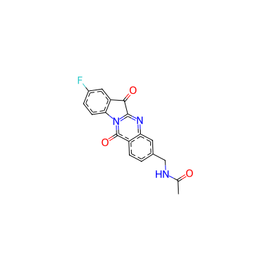 CC(=O)NCc1ccc2c(=O)n3c(nc2c1)C(=O)c1cc(F)ccc1-3